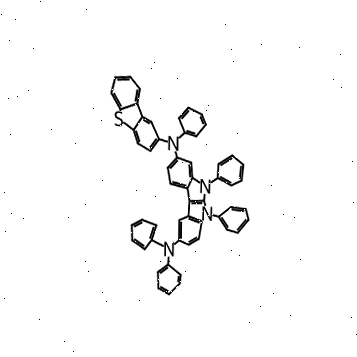 c1ccc(N(c2ccccc2)c2ccc3c(c2)c2c4ccc(N(c5ccccc5)c5ccc6sc7ccccc7c6c5)cc4n(-c4ccccc4)c2n3-c2ccccc2)cc1